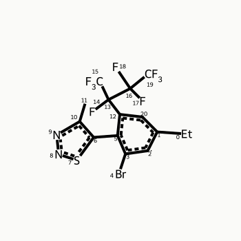 CCc1[c]c(Br)c(-c2snnc2C)c(C(F)(C(F)(F)F)C(F)(F)C(F)(F)F)c1